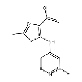 Cc1cc(Nc2sc(C)nc2C(=O)O)cnn1